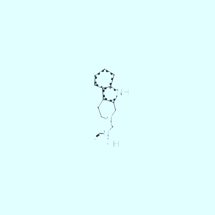 CN(C=O)CN1CCc2c([nH]c3ccccc23)C1